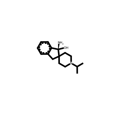 CC(C)N1CCC2(CC1)Cc1ccccc1[C@]2(N)O